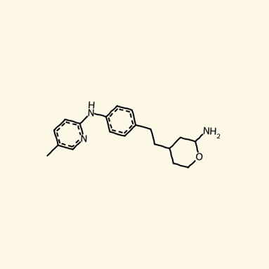 Cc1ccc(Nc2ccc(CCC3CCOC(N)C3)cc2)nc1